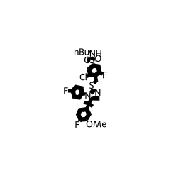 CCCCNS(=O)(=O)c1cc(F)c(CSc2ncc(C(C)(C)c3ccc(F)c(OC)c3)n2-c2ccc(F)cc2)c(Cl)c1